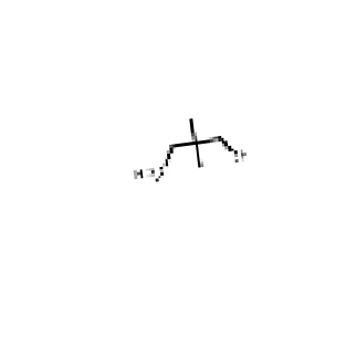 CC(C)(CS)CC(=O)O